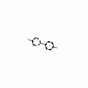 Nc1ccc(-c2ncc(Cl)cn2)cc1